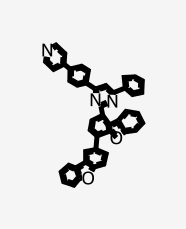 c1ccc(-c2cc(-c3ccc(-c4ccncc4)cc3)nc(-c3ccc(-c4ccc5oc6ccccc6c5c4)c4oc5ccccc5c34)n2)cc1